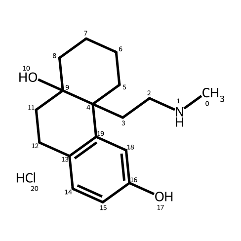 CNCCC12CCCCC1(O)CCc1ccc(O)cc12.Cl